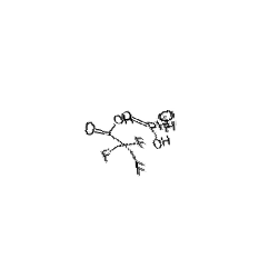 O=C(O)C(F)(F)F.O=[PH](O)O